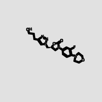 O=C1O[C@@H](Cn2cc(CCCO)nn2)CN1c1ccc(N2CCOCC2)c(F)c1